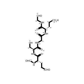 O=CCC[C@H](NC=O)C(=O)N[C@@H](CO)C(=O)NCC(=O)N[C@@H](CCC(=O)O)C(=O)NCC=O